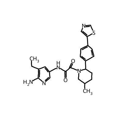 CCc1cc(NC(=O)C(=O)N2CC(C)CCC2c2ccc(-c3cncs3)cc2)cnc1N